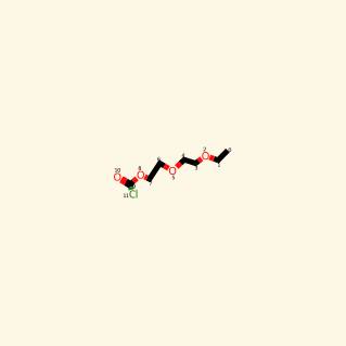 CCOCCOCCOC(=O)Cl